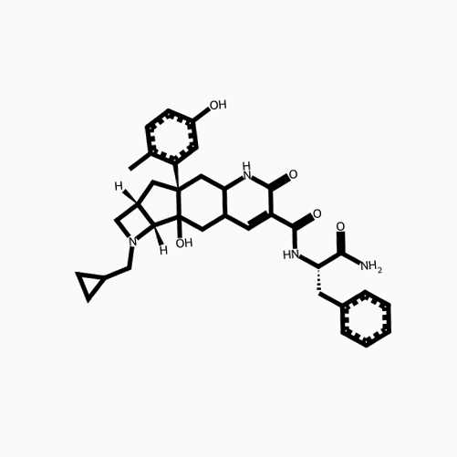 Cc1ccc(O)cc1[C@@]12CC3NC(=O)C(C(=O)N[C@@H](Cc4ccccc4)C(N)=O)=CC3CC1(O)[C@H]1[C@H](CN1CC1CC1)C2